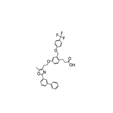 Cc1oc(-c2cccc(-c3ccccc3)c2)nc1CCOc1ccc(CCC(=O)O)c(COc2ccc(C(F)(F)F)cc2)c1